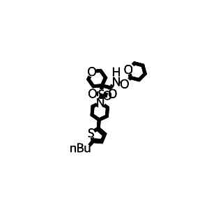 CCCCc1ccc(C2CCN(S(=O)(=O)C3(C(=O)NOC4CCCCO4)CCOCC3)CC2)s1